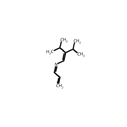 C=C/C=N\C=C(C(C)C)C(C)C